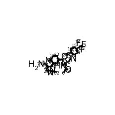 CC(=O)NN(Cc1nc2cc(C(F)(F)F)ccc2s1)C(=O)c1ccc2nc(N)c3cnn(C)c3c2c1